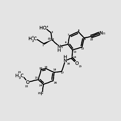 CC[C@@H](CO)Nc1ccc(C#N)cc1C(=O)NCc1ccc(OC)c(F)c1